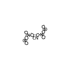 N#Cc1cc(-n2c3ccccc3c3cc4oc5ccccc5c4cc32)ccc1-c1ccc(-n2c3ccccc3c3cc4oc5ccccc5c4cc32)cc1